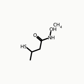 C.CC(S)CC(=O)NO